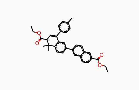 CCOC(=O)c1ccc2cc(-c3ccc4c(c3)C(c3ccc(C)cc3)=CC(C(=O)OCC)C4(C)C)ccc2c1